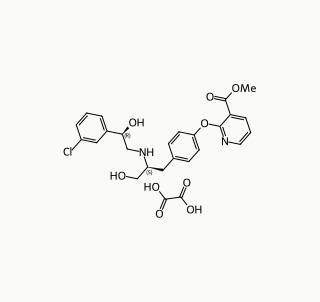 COC(=O)c1cccnc1Oc1ccc(C[C@@H](CO)NC[C@H](O)c2cccc(Cl)c2)cc1.O=C(O)C(=O)O